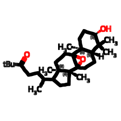 CC(CCC(=O)C(C)(C)C)C1CC[C@@]2(C)C34CC[C@H]5C(C)(C)[C@@H](O)CC[C@]5(C)C3(CC[C@]12C)O4